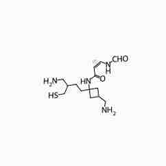 NCC(CS)CCC1(NC(=O)/C=C\NC=O)CC(CN)C1